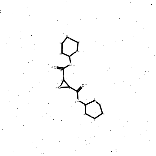 O=C(OC1CCCCC1)C1OC1C(=O)OC1CCCCC1